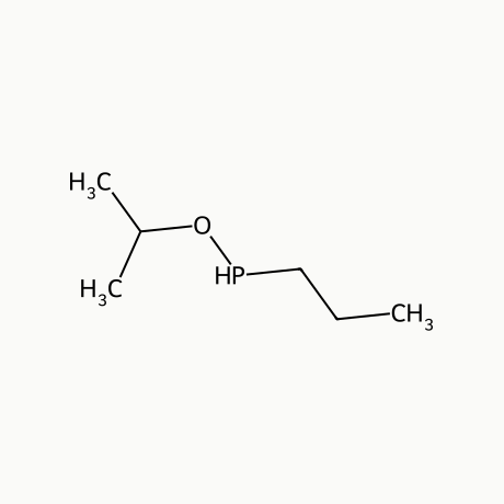 CCCPOC(C)C